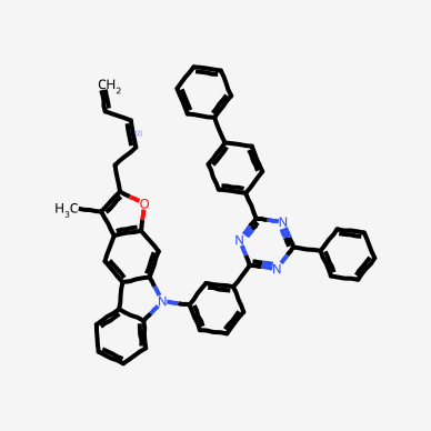 C=C/C=C\Cc1oc2cc3c(cc2c1C)c1ccccc1n3-c1cccc(-c2nc(-c3ccccc3)nc(-c3ccc(-c4ccccc4)cc3)n2)c1